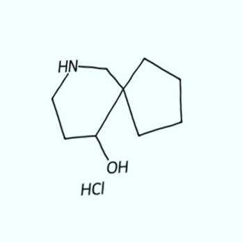 Cl.OC1CCNCC12CCCC2